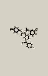 O=C(C1CCNCC1)N1C[C@@H](N(C(=O)Oc2ccc(F)cc2)C2CC2)[C@H](c2ccc(Cl)cc2)C1